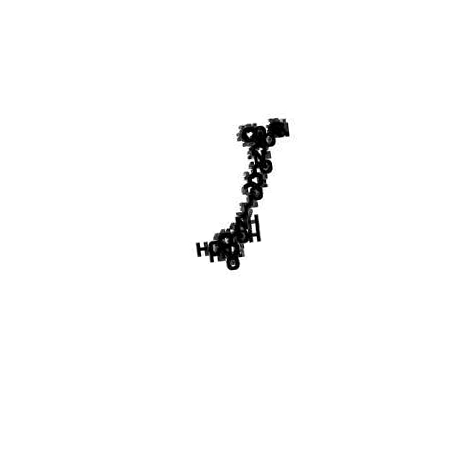 Cc1cc(CC(=O)N2CCC(C(=O)OC3CN4CCC3CC4)(c3ccccc3)CC2)ccc1OCCCCCNCC(O)c1ccc(O)c2[nH]c(=O)ccc12